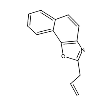 C=CCc1nc2ccc3ccccc3c2o1